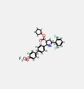 O=C(OC1CCCC1)[C@H]1CC(c2c(F)cccc2F)=N[C@H]1c1ccc(-c2ccc(OC(F)(F)F)cc2)cc1